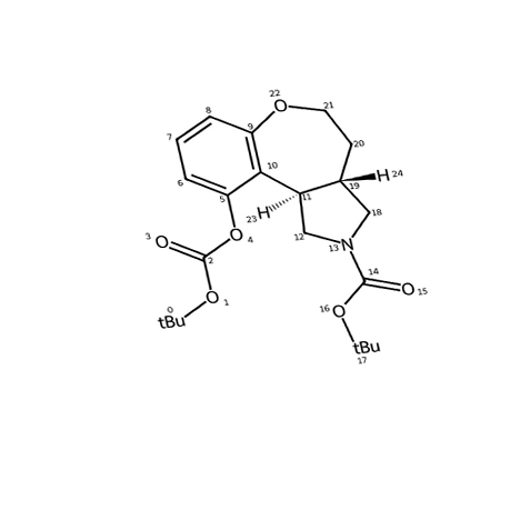 CC(C)(C)OC(=O)Oc1cccc2c1[C@@H]1CN(C(=O)OC(C)(C)C)C[C@H]1CCO2